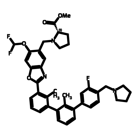 COC(=O)[C@@H]1CCCN1Cc1cc2nc(-c3cccc(-c4cccc(-c5ccc(CN6CCCC6)c(F)c5)c4C)c3C)oc2cc1OC(F)F